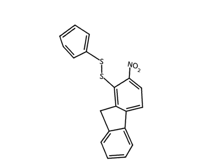 O=[N+]([O-])c1ccc2c(c1SSc1ccccc1)Cc1ccccc1-2